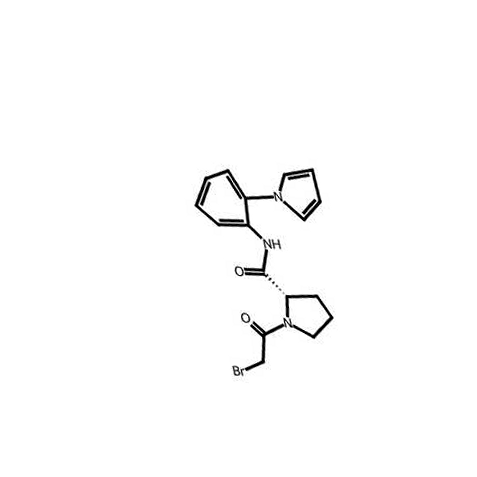 O=C(Nc1ccccc1-n1cccc1)[C@@H]1CCCN1C(=O)CBr